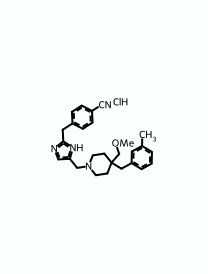 COCC1(Cc2cccc(C)c2)CCN(Cc2cnc(Cc3ccc(C#N)cc3)[nH]2)CC1.Cl